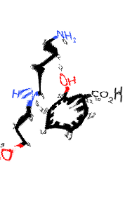 NCCCCNCCCO.O=C(O)c1ccccc1O